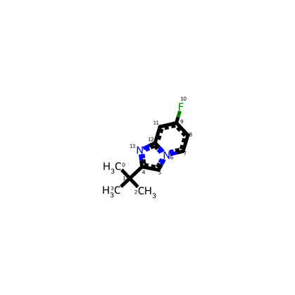 CC(C)(C)c1cn2ccc(F)cc2n1